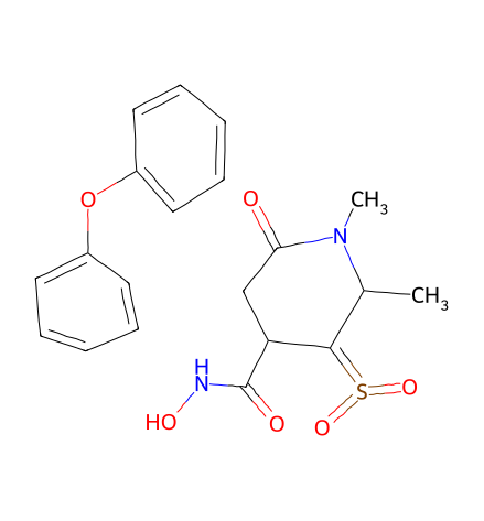 CC1C(=S(=O)=O)C(C(=O)NO)CC(=O)N1C.c1ccc(Oc2ccccc2)cc1